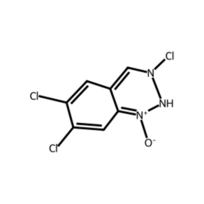 [O-][N+]1=c2cc(Cl)c(Cl)cc2=CN(Cl)N1